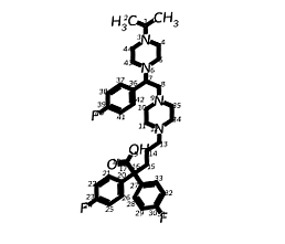 CC(C)N1CCN(C(CN2CCN(CCCC(C(=O)O)(c3ccc(F)cc3)c3ccc(F)cc3)CC2)c2ccc(F)cc2)CC1